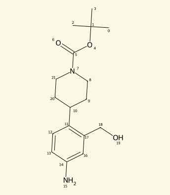 CC(C)(C)OC(=O)N1CCC(c2ccc(N)cc2CO)CC1